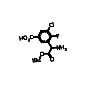 CC(C)(C)OC(=O)C(N)c1cc(C(=O)O)cc(Cl)c1F